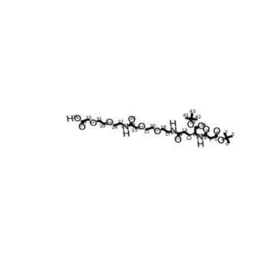 CC(C)(C)OC(=O)CC(=O)N[C@@H](CCC(=O)NCCOCCOCC(=O)NCCOCCOCC(=O)O)C(=O)OC(C)(C)C